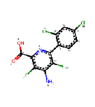 Nc1c(F)c(C(=O)O)nc(-c2ccc(Cl)cc2Cl)c1F